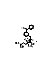 CC(=N)CCC(C)(C)C(=N)C(C)(C)Cc1cccc(C(=N)c2ccccc2)c1